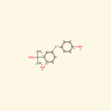 CC(C)(O)c1cc(Sc2ccc(O)cc2)ccc1O